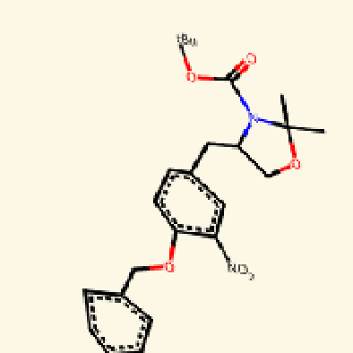 CC(C)(C)OC(=O)N1C(Cc2ccc(OCc3ccccc3)c([N+](=O)[O-])c2)COC1(C)C